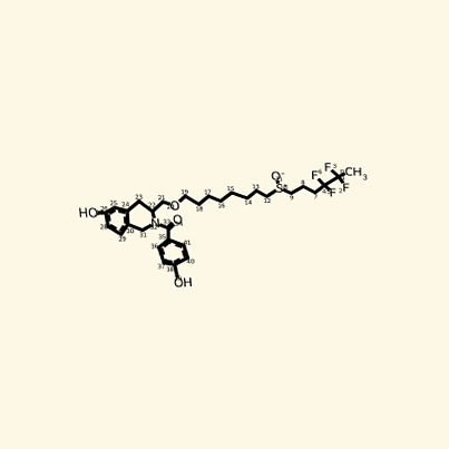 CC(F)(F)C(F)(F)CCC[S+]([O-])CCCCCCCCOCC1Cc2cc(O)ccc2CN1C(=O)c1ccc(O)cc1